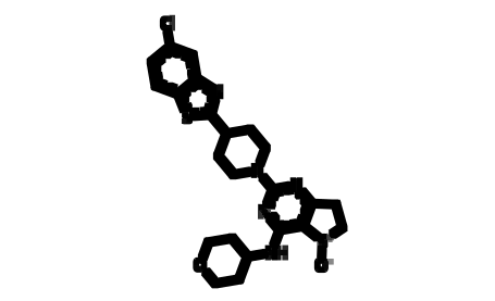 [O-][S+]1CCc2nc(N3CCC(c4nc5cc(Cl)ccc5s4)CC3)nc(NC3CCOCC3)c21